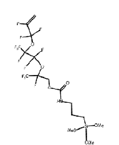 C=C(F)C(F)(F)OC(F)(C(F)(F)F)C(F)(F)OC(F)(COC(=O)NCCC[Si](OC)(OC)OC)C(F)(F)F